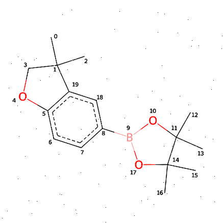 CC1(C)COc2ccc(B3OC(C)(C)C(C)(C)O3)cc21